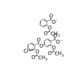 CC(=O)Oc1ccccc1C(=O)[O-].CC(=O)Oc1ccccc1C(=O)[O-].CC(=O)Oc1ccccc1C(=O)[O-].[Cr+3]